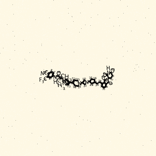 CC(C)(C(=O)Nc1ccc(C#N)c(C(F)(F)F)c1)n1cc(C2CCN(C3CN(C4CCC(CCc5cccc6c5C(=O)N(C5CCC(=O)NC5=O)C6=O)C4)C3)CC2)cn1